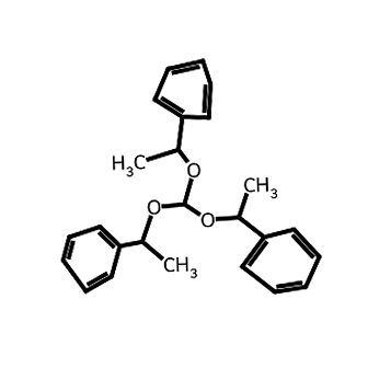 CC(OC(OC(C)c1ccccc1)OC(C)c1ccccc1)c1ccccc1